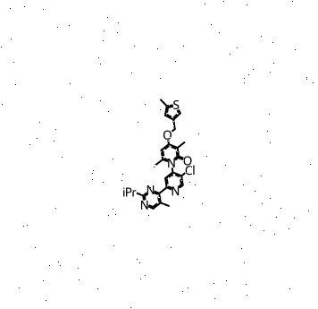 Cc1cc(COc2cc(C)n(-c3cc(-c4nc(C(C)C)ncc4C)ncc3Cl)c(=O)c2C)cs1